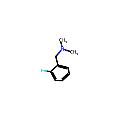 CN(C)Cc1ccccc1F